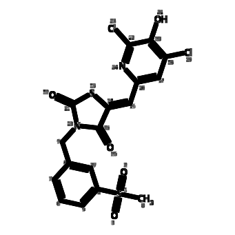 CS(=O)(=O)c1cccc(CN2C(=O)S/C(=C\c3cc(Cl)c(O)c(Cl)n3)C2=O)c1